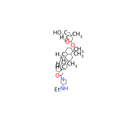 CCN[C@@H]1CCN(C(=O)C[C@]23CCC[C@@H]2[C@H]2CCC4[C@@]5(C)CC[C@H](OC(=O)CC(C)(C)CC(=O)O)C(C)(C)C5CC[C@@]4(C)[C@]2(C)CC3)C1